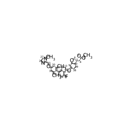 COC(=O)C[C@@H]1COc2cc(O[C@@H]3CCc4c(-c5c(C)cc(OCc6nccn6C)cc5C)ccc(F)c43)ccc21